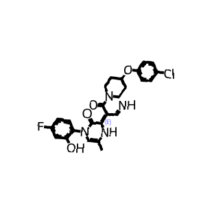 CC1=CN(c2ccc(F)cc2O)C(=O)/C(=C(/C=N)C(=O)N2CCC(Oc3ccc(Cl)cc3)CC2)N1